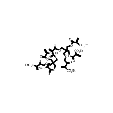 C=C(C(=O)COCC(COC(=O)C(=C)C(=O)OCC)(COC(=O)C(=C)C(=O)OCC)COC(=O)C(=C)C(=O)OCC(COCC(=O)C(=C)C(=O)OCC)(COC(=O)C(=C)C(=O)OCC)COC(=O)C(=C)C(=O)OCC)C(=O)OCC